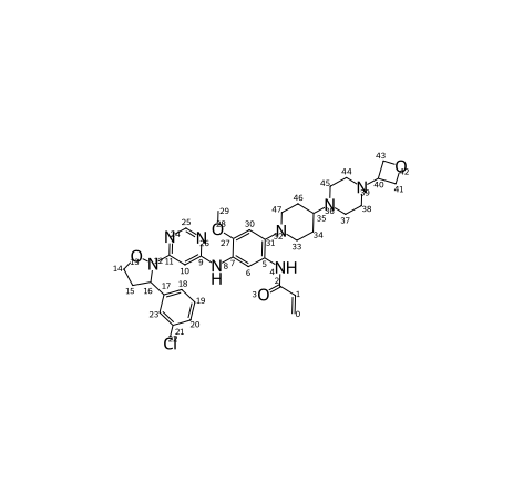 C=CC(=O)Nc1cc(Nc2cc(N3OCCC3c3cccc(Cl)c3)ncn2)c(OC)cc1N1CCC(N2CCN(C3COC3)CC2)CC1